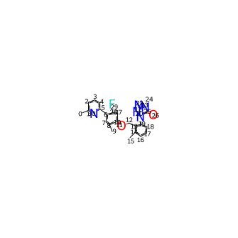 Cc1cccc(-c2cc(C)c(OCc3c(C)cccc3-n3nnn(C)c3=O)cc2F)n1